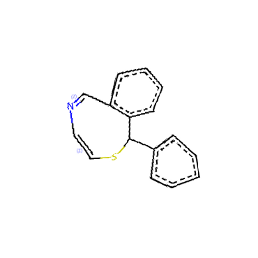 C1=C\SC(c2ccccc2)c2ccccc2\C=N/1